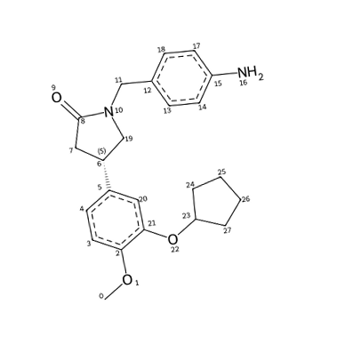 COc1ccc([C@@H]2CC(=O)N(Cc3ccc(N)cc3)C2)cc1OC1CCCC1